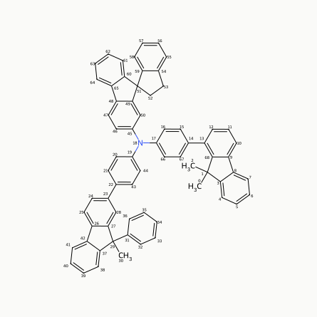 CC1(C)c2ccccc2-c2cccc(-c3ccc(N(c4ccc(-c5ccc6c(c5)C(C)(c5ccccc5)c5ccccc5-6)cc4)c4ccc5c(c4)C4(CCc6ccccc64)c4ccccc4-5)cc3)c21